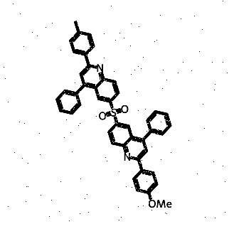 COc1ccc(-c2cc(-c3ccccc3)c3cc(S(=O)(=O)c4ccc5nc(-c6ccc(C)cc6)cc(-c6ccccc6)c5c4)ccc3n2)cc1